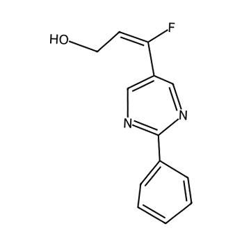 OC/C=C(/F)c1cnc(-c2ccccc2)nc1